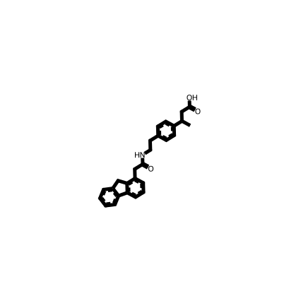 CC(CC(=O)O)c1ccc(CCNC(=O)Cc2cccc3c2Cc2ccccc2-3)cc1